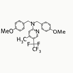 COc1ccc(CN(Cc2ccc(OC)cc2)c2cc(C)c(C(F)(F)C(F)(F)F)cn2)cc1